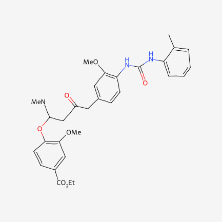 CCOC(=O)c1ccc(OC(CC(=O)Cc2ccc(NC(=O)Nc3ccccc3C)c(OC)c2)NC)c(OC)c1